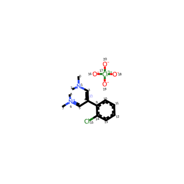 CN(C)/C=C(\C=[N+](C)C)c1ccccc1Cl.[O-][Cl+3]([O-])([O-])[O-]